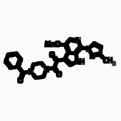 COc1cnc(-n2ccc(C)n2)c2[nH]cc(C(=O)C(=O)N3CCN(C(=O)c4ccccc4)CC3)c12